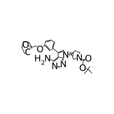 CC(C)(C)OC(=O)N1CC[C@@H](n2cc(-c3cccc(OCC45CCC(CC4)O5)c3)c3c(N)ncnc32)C1